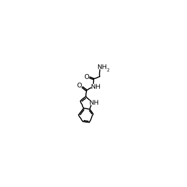 NCC(=O)NC(=O)c1cc2ccccc2[nH]1